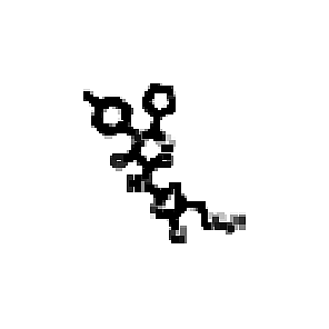 Cc1ccc(N(C(=O)C(=O)Nc2nc(CC(=O)O)c(Cl)s2)C(=O)C2CCCC2)cc1